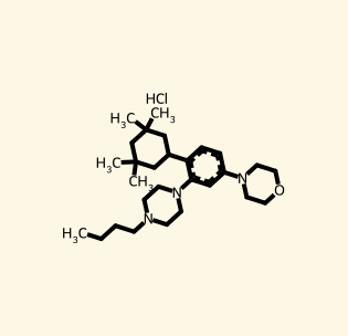 CCCCN1CCN(c2cc(N3CCOCC3)ccc2C2CC(C)(C)CC(C)(C)C2)CC1.Cl